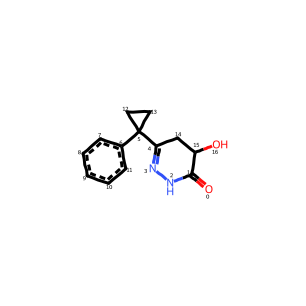 O=C1NN=C(C2(c3ccccc3)CC2)CC1O